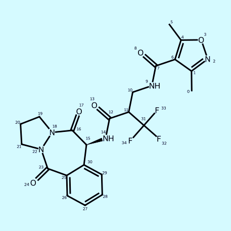 Cc1noc(C)c1C(=O)NCC(C(=O)N[C@@H]1C(=O)N2CCCN2C(=O)c2ccccc21)C(F)(F)F